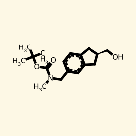 CN(Cc1ccc2c(c1)C[C@H](CO)C2)C(=O)OC(C)(C)C